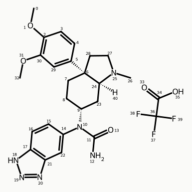 COc1ccc([C@@]23CC[C@@H](N(C(N)=O)c4ccc5[nH]nnc5c4)C[C@@H]2N(C)CC3)cc1OC.O=C(O)C(F)(F)F